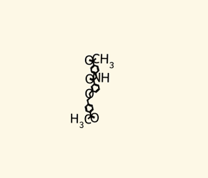 CC(=O)c1ccc(CCOc2cccc(C(=O)Nc3ccc(C(C)=O)cc3)c2)cc1